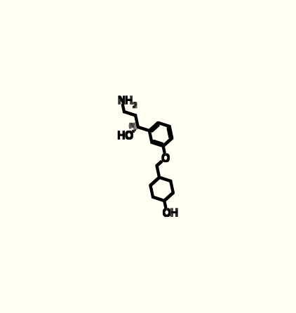 NCC[C@@H](O)c1cccc(OCC2CCC(O)CC2)c1